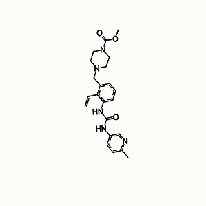 C=Cc1c(CN2CCN(C(=O)OC)CC2)cccc1NC(=O)Nc1ccc(C)nc1